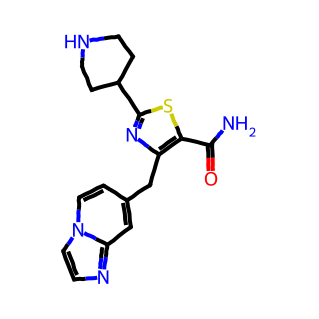 NC(=O)c1sc(C2CCNCC2)nc1Cc1ccn2ccnc2c1